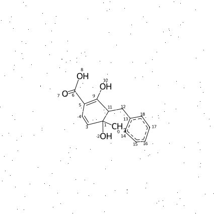 CC1(O)C=CC(C(=O)O)=C(O)C1Cc1ccccc1